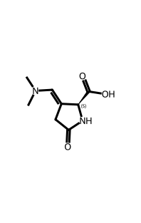 CN(C)C=C1CC(=O)N[C@@H]1C(=O)O